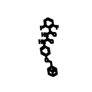 CC1(C)C2CC=C(COc3ccc(NC(=O)NC(=O)c4c(F)cccc4F)cc3)C1C2